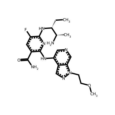 CC[C@@H](Nc1nc(Nc2cncc3c2cnn3CCOC)c(C(N)=O)cc1F)[C@H](C)N